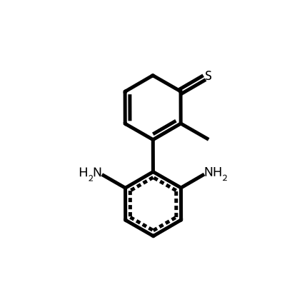 CC1=C(c2c(N)cccc2N)C=CCC1=S